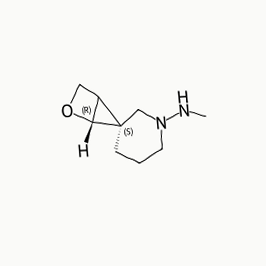 CNN1CCC[C@@]2(C1)C1CO[C@H]12